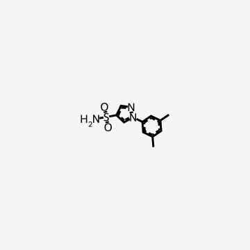 Cc1cc(C)cc(-n2cc(S(N)(=O)=O)cn2)c1